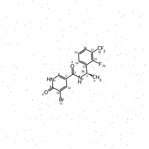 C[C@@H](NC(=O)c1c[nH]c(=O)c(Br)c1)c1cccc(C(F)(F)F)c1F